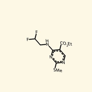 CCOC(=O)c1cnc(SC)nc1NCC(F)F